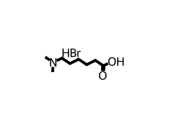 Br.CN(C)CCCCCC(=O)O